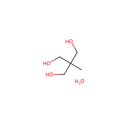 CC(CO)(CO)CO.O